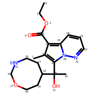 CCOC(=O)c1c(C)c(C(C)(O)C2CCNCOCC2)n2ncccc12